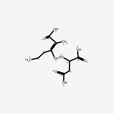 CCC/C(O)=C(/C)C(=O)O.O=C(O)CC(O)C(=O)O